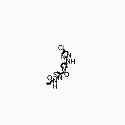 C=CC(=O)Nc1nc(C(=O)N2CC[C@H](Nc3ncc(Cl)cn3)C2)cs1